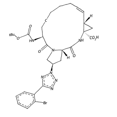 CC(C)(C)OC(=O)N[C@H]1CCCCC/C=C\[C@@H]2C[C@@]2(C(=O)O)NC(=O)[C@@H]2C[C@@H](n3nnc(-c4ccccc4Br)n3)CN2C1=O